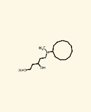 COCCC(O)CCN(C)C1CCCCCCCCCC1